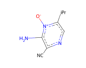 CC(C)c1cnc(C#N)c(N)[n+]1[O-]